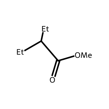 [CH2]OC(=O)C(CC)CC